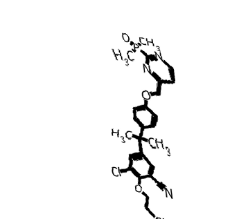 CC(C)(c1ccc(OCc2ccnc(P(C)(C)=O)n2)cc1)c1cc(Cl)c(OCCCl)c(C#N)c1